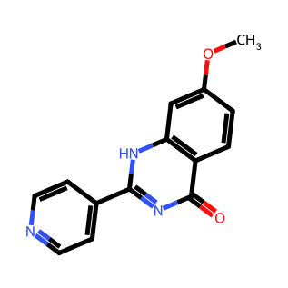 COc1ccc2c(=O)nc(-c3ccncc3)[nH]c2c1